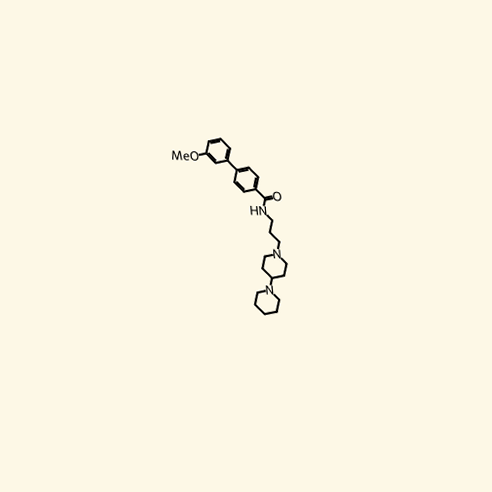 COc1cccc(-c2ccc(C(=O)NCCCN3CCC(N4CCCCC4)CC3)cc2)c1